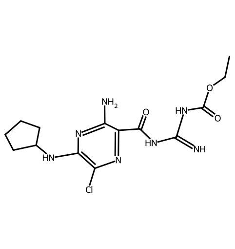 CCOC(=O)NC(=N)NC(=O)c1nc(Cl)c(NC2CCCC2)nc1N